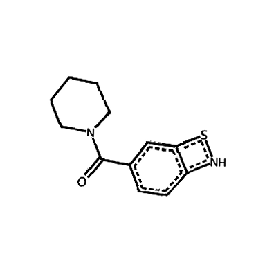 O=C(c1ccc2[nH]sc2c1)N1CCCCC1